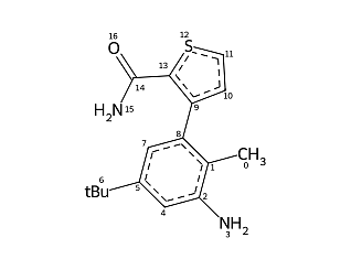 Cc1c(N)cc(C(C)(C)C)cc1-c1ccsc1C(N)=O